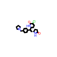 O=C1CC[C@H](/C=C(/c2ccc(CN3CCCC3)cc2)c2ccc(Cl)c(=O)[nH]2)N1